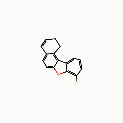 Clc1cccc2c1oc1ccc3c(c12)CCC=C3